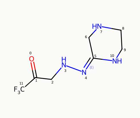 O=C(CN/N=C1\CNCCN1)C(F)(F)F